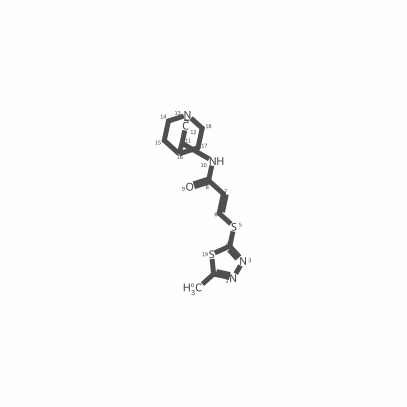 Cc1nnc(S/C=C/C(=O)NC2CN3CCC2CC3)s1